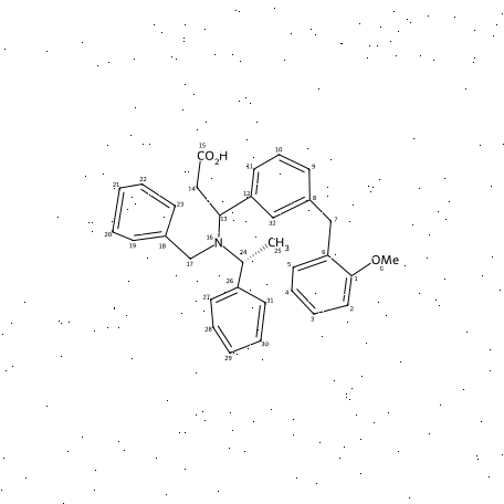 COc1ccccc1Cc1cccc(C(CC(=O)O)N(Cc2ccccc2)[C@H](C)c2ccccc2)c1